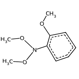 COc1ccccc1N(OC)OC